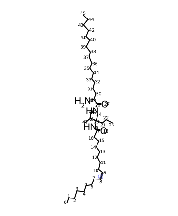 CCCCCCCC/C=C\CCCCCCCC(=O)NC(CCC)(CNC(=O)C(N)CCCCCCCCCCCCCCCC)[C](C)C